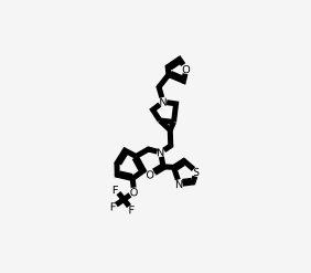 O=C(c1cscn1)N(Cc1cccc(OC(F)(F)F)c1)CC1C2CN(Cc3ccoc3)CC21